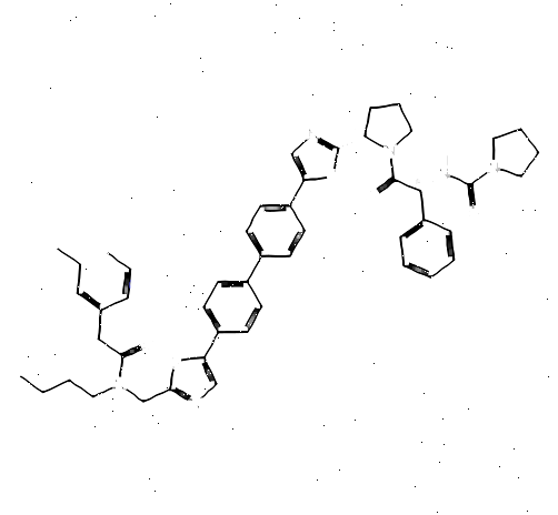 C/C=C\C(=C/CC)CC(=O)N(CCCC)Cc1ncc(-c2ccc(-c3ccc(-c4cnc([C@@H]5CCCN5C(=O)[C@H](NC(=O)N5CCCC5)c5ccccc5)s4)cc3)cc2)s1